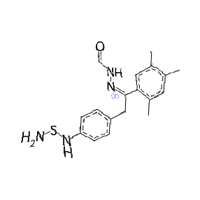 Cc1cc(C)c(/C(Cc2ccc(NSN)cc2)=N\NC=O)cc1C